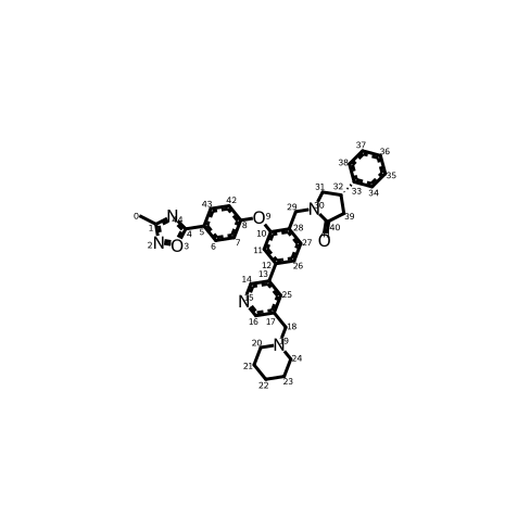 Cc1noc(-c2ccc(Oc3cc(-c4cncc(CN5CCCCC5)c4)ccc3CN3C[C@H](c4ccccc4)CC3=O)cc2)n1